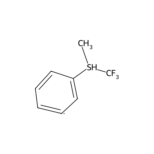 C[SH](c1c[c]ccc1)C(F)(F)F